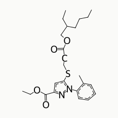 CCCCC(CC)COC(=O)CCSc1cc(C(=O)OCC)nn1-c1ccccc1C